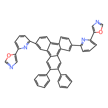 c1ccc(-c2cc3c4cc(-c5cccc(-c6cnco6)n5)ccc4c4ccc(-c5cccc(-c6cnco6)n5)cc4c3cc2-c2ccccc2)cc1